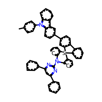 Cc1ccc(-n2c3ccccc3c3cc(-c4ccc5c(c4)[Si]4(c6ccccc6-5)c5ccccc5N(c5nc(-c6ccccc6)cc(-c6ccccc6)n5)c5ccccc54)ccc32)cc1